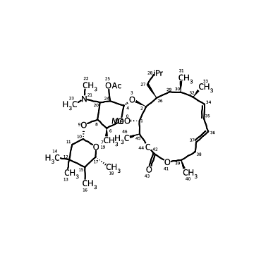 CO[C@@H]1[C@@H](O[C@@H]2O[C@@H](C)C(O[C@H]3CC(C)(C)C(C)[C@@H](C)O3)C(N(C)C)C2OC(C)=O)[C@@H](CC(C)C)C[C@@H](C)[C@@H](C)/C=C/C=C/C[C@@H](C)OC(=O)C[C@H]1C